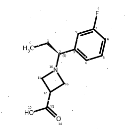 CC[C@@H](c1cc[c]c(F)c1)N1CC(C(=O)O)C1